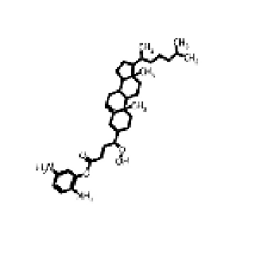 CC(C)CCCC(C)C1CCC2C3CC=C4CC(C(CCC(=O)Oc5cc(N)ccc5N)OO)CCC4(C)C3CCC12C